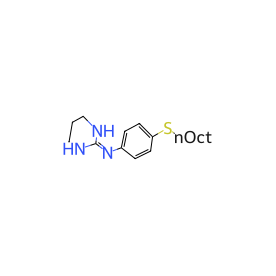 CCCCCCCCSc1ccc(N=C2NCCCN2)cc1